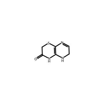 O=C1CSC2=C(NCC=N2)N1